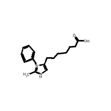 Cc1[nH]cc(CCCCCCC(=O)O)[n+]1-c1ccccc1